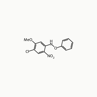 COc1cc(NOc2ccccc2)c([N+](=O)[O-])cc1Cl